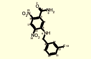 NC(=O)c1cc(NCc2cccc(F)c2)c([N+](=O)[O-])cc1[N+](=O)[O-]